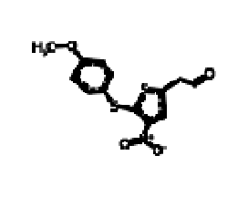 COc1ccc(Sc2sc(CC=O)cc2[N+](=O)[O-])cc1